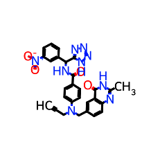 C#CCN(Cc1ccc2nc(C)[nH]c(=O)c2c1)c1ccc(C(=O)NC(c2cccc([N+](=O)[O-])c2)c2nnn[nH]2)cc1